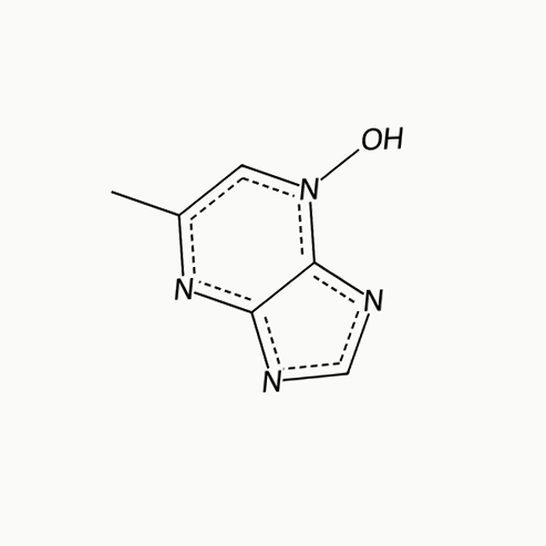 Cc1cn(O)c2ncnc-2n1